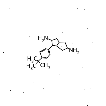 CC(C)(C)c1ccc(C2C(N)CC3CC(N)CC32)cc1